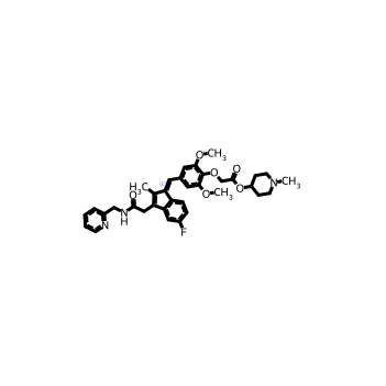 COc1cc(/C=C2/C(C)=C(CC(=O)NCc3ccccn3)c3cc(F)ccc32)cc(OC)c1OCC(=O)OC1CCN(C)CC1